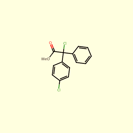 COC(=O)C(Cl)(c1ccccc1)c1ccc(Cl)cc1